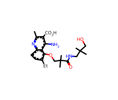 CCc1ccc2nc(C)c(C(=O)O)c(N)c2c1OCC(C)(C)C(=O)NCC(C)(C)CO